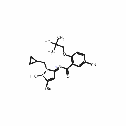 Cn1c(C(C)(C)C)c/c(=N\C(=O)c2cc(C#N)ccc2OCC(C)(C)O)n1CC1CC1